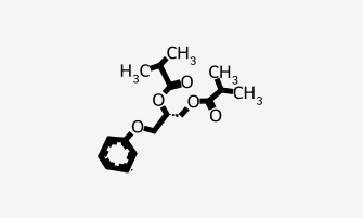 CC(C)C(=O)OC[C@H](COc1c[c]ccc1)OC(=O)C(C)C